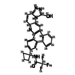 O=C(NC1(c2ccc(-c3nc4ccc5nnc(O)n5c4cc3-c3ccccc3)cc2)CCC1)C(F)(F)F